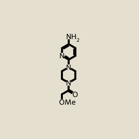 COCC(=O)N1CCN(c2ccc(N)cn2)CC1